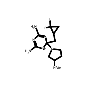 CN[C@@H]1CCN(C2(CC3CC3(F)F)N=C(N)N=C(N)N2)C1